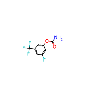 NC(=O)Oc1cc(F)cc(C(F)(F)F)c1